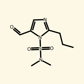 CCCc1ncc(C=O)n1S(=O)(=O)N(C)C